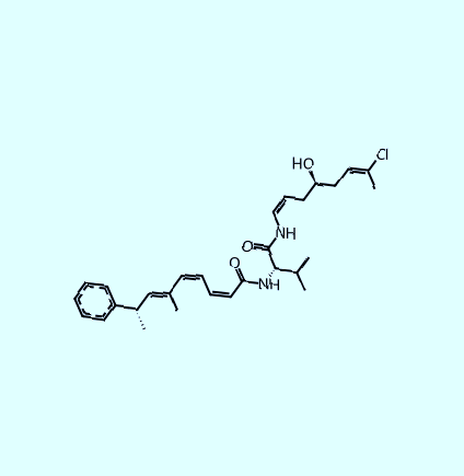 C/C(Cl)=C\C[C@H](O)C/C=C\NC(=O)[C@@H](NC(=O)\C=C/C=C\C(C)=C\[C@H](C)c1ccccc1)C(C)C